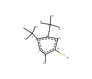 Cc1cc(C(C)(C)C)c(C(C)(C)C)cc1F